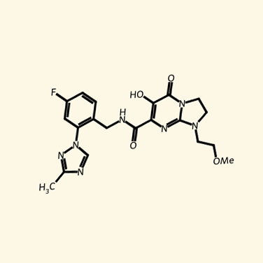 COCCN1CCn2c1nc(C(=O)NCc1ccc(F)cc1-n1cnc(C)n1)c(O)c2=O